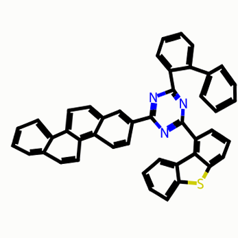 c1ccc(-c2ccccc2-c2nc(-c3ccc4c(ccc5c6ccccc6ccc45)c3)nc(-c3cccc4sc5ccccc5c34)n2)cc1